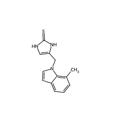 Cc1cccc2ccn(Cc3c[nH]c(=S)[nH]3)c12